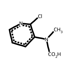 CN(C(=O)O)c1cccnc1Cl